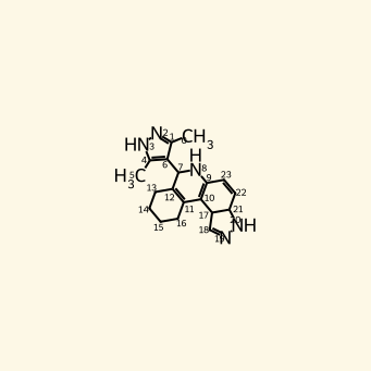 Cc1n[nH]c(C)c1C1NC2=C(C3=C1CCCC3)C1C=NNC1C=C2